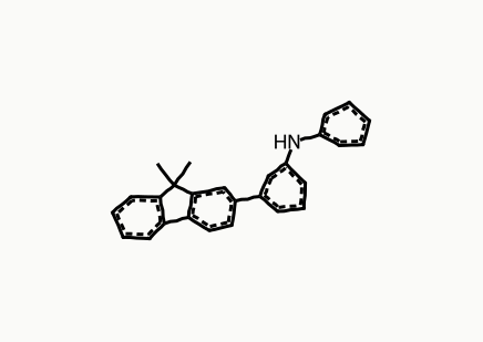 CC1(C)c2ccccc2-c2ccc(-c3cccc(Nc4ccccc4)c3)cc21